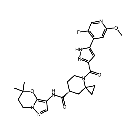 COc1cc(-c2cc(C(=O)N3CC[C@H](C(=O)Nc4cnn5c4OC(C)(C)CC5)CC34CC4)n[nH]2)c(F)cn1